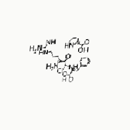 N=C(N)NCCC[C@H](N)C(=O)C(Cl)N[C@H](Cc1ccccc1)C(=O)O.O=C(O)[C@@H]1CCCN1